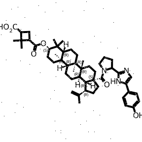 C=C(C)[C@@H]1CC[C@]2(C(=O)N3CCCC3c3ncc(-c4ccc(O)cc4)[nH]3)CC[C@]3(C)[C@H](CC[C@@H]4[C@@]5(C)CC[C@H](OC(=O)C6CC(C(=O)O)C6(C)C)C(C)(C)[C@@H]5CC[C@]43C)[C@@H]12